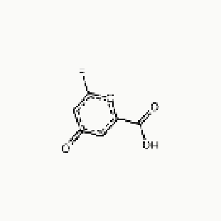 O=C(O)c1cc(=O)cc(F)o1